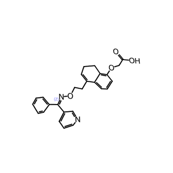 O=C(O)COc1cccc2c1CCC=C2CCO/N=C(/c1ccccc1)c1cccnc1